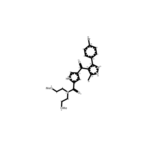 COCCN(CCOC)C(=O)c1cc(C(=O)c2c(-c3ccc(Br)cc3)noc2C)c[nH]1